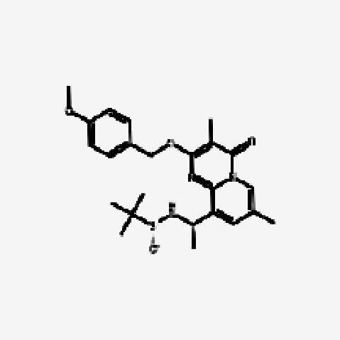 COc1ccc(COc2nc3c([C@@H](C)N[S@+]([O-])C(C)(C)C)cc(C)cn3c(=O)c2C)cc1